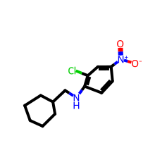 O=[N+]([O-])c1ccc(NCC2CCCCC2)c(Cl)c1